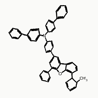 CC1C=CC=CC1c1cccc2c1oc1c(-c3ccccc3)cc(-c3ccc(N(c4ccc(-c5ccccc5)cc4)c4ccc(-c5ccccc5)cc4)cc3)cc12